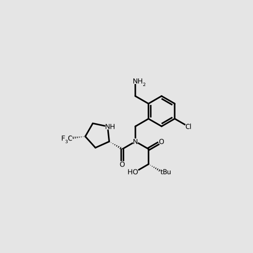 CC(C)(C)[C@H](O)C(=O)N(Cc1cc(Cl)ccc1CN)C(=O)[C@@H]1C[C@H](C(F)(F)F)CN1